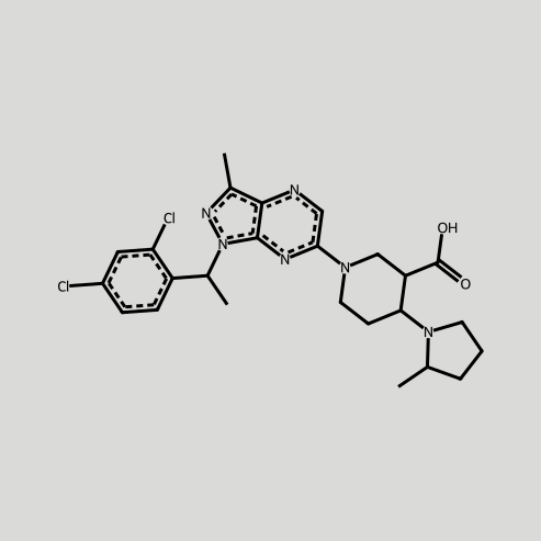 Cc1nn(C(C)c2ccc(Cl)cc2Cl)c2nc(N3CCC(N4CCCC4C)C(C(=O)O)C3)cnc12